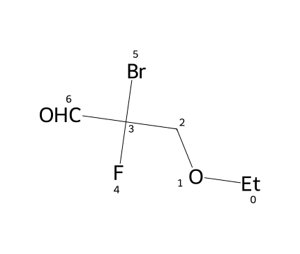 CCOCC(F)(Br)C=O